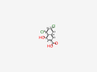 O=C(O)c1cc(O)c2c(Cl)cc(Cl)cc2c1